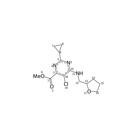 COC(=O)c1nc(C2CC2)nc(NCC2CCCO2)c1Cl